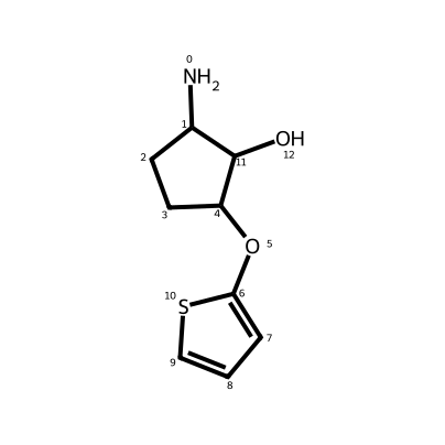 NC1CCC(Oc2cccs2)C1O